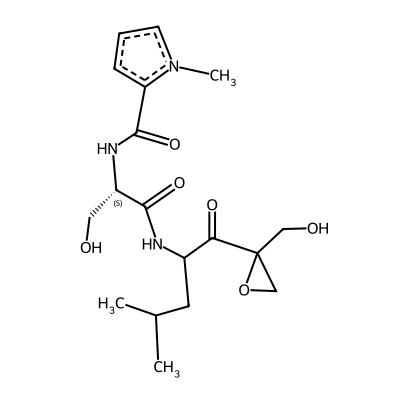 CC(C)CC(NC(=O)[C@H](CO)NC(=O)c1cccn1C)C(=O)C1(CO)CO1